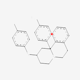 FC(F)(F)c1ccc(C23CC(Nc4ccc(Cl)cc4)CCN2CCc2ccccc23)cc1